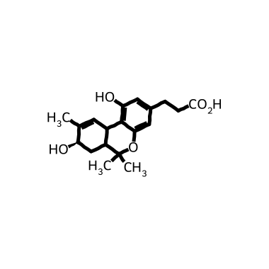 CC1=CC2c3c(O)cc(CCC(=O)O)cc3OC(C)(C)C2C[C@H]1O